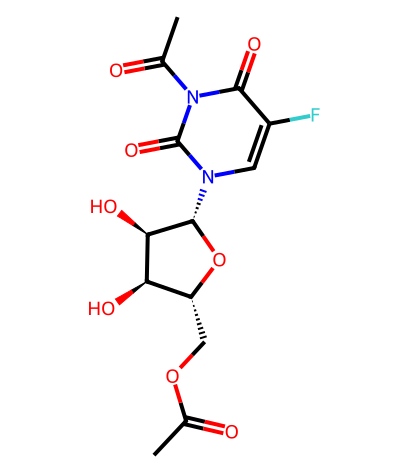 CC(=O)OC[C@H]1O[C@@H](n2cc(F)c(=O)n(C(C)=O)c2=O)[C@H](O)[C@@H]1O